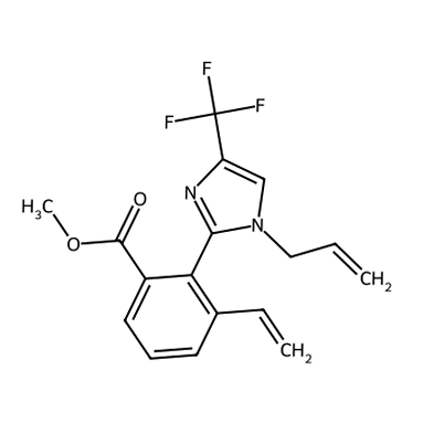 C=CCn1cc(C(F)(F)F)nc1-c1c(C=C)cccc1C(=O)OC